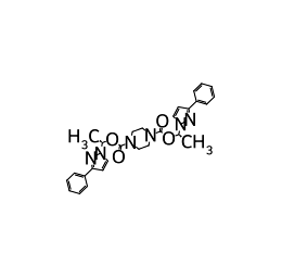 C[C@@H](OC(=O)N1CCN(C(=O)O[C@H](C)n2ccc(-c3ccccc3)n2)CC1)n1ccc(-c2ccccc2)n1